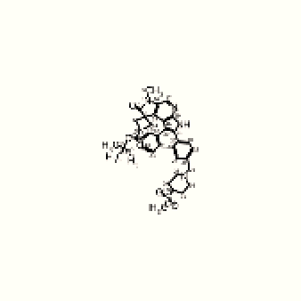 CN1C(=O)C2(CN(C(=O)OC(C)(C)C)C2)c2c1cnc1[nH]c(-c3ccc(CN4CCC(S(C)(=O)=O)CC4)cc3)c(-c3ccccc3)c21